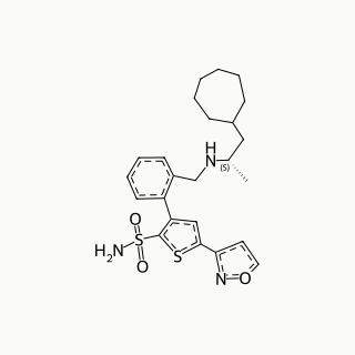 C[C@@H](CC1CCCCCC1)NCc1ccccc1-c1cc(-c2ccon2)sc1S(N)(=O)=O